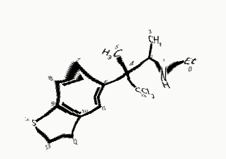 CCNC(C)C(C)(c1ccc2c(c1)CCS2)C(Cl)(Cl)Cl